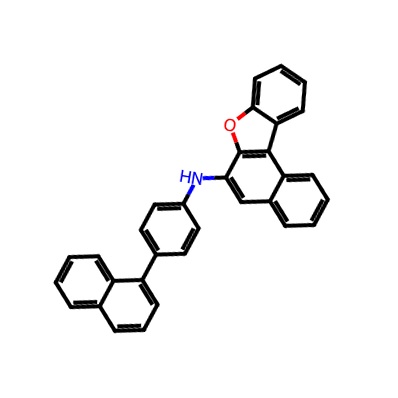 c1ccc2c(-c3ccc(Nc4cc5ccccc5c5c4oc4ccccc45)cc3)cccc2c1